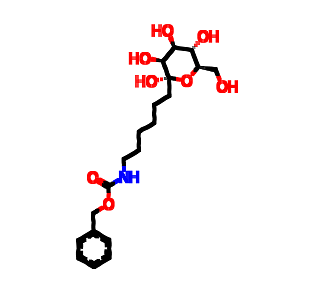 O=C(NCCCCCC[C@]1(O)O[C@H](CO)[C@@H](O)[C@H](O)[C@@H]1O)OCc1ccccc1